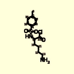 Cc1ccc(S(=O)(=O)NC(CCCCN)C(=O)Cl)cc1